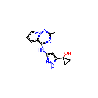 Cc1nc(Nc2cc(C3(O)CC3)[nH]n2)c2cccn2n1